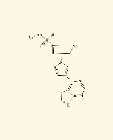 CCS(=O)(=O)N1CC(CN)(n2cc(-c3ncnc4[nH]ccc34)cn2)C1